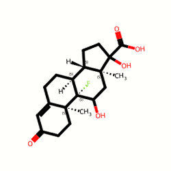 C[C@]12CC(O)[C@]3(F)[C@@H](CCC4=CC(=O)CC[C@@]43C)[C@@H]1CCC2(O)C(=O)O